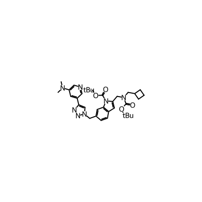 CN(C)c1cncc(-c2cn(Cc3ccc4cc(CN(CC5CCC5)C(=O)OC(C)(C)C)n(C(=O)OC(C)(C)C)c4c3)nn2)c1